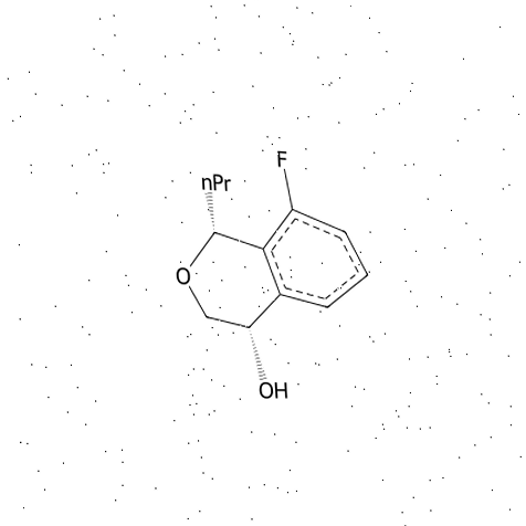 CCC[C@H]1OC[C@@H](O)c2cccc(F)c21